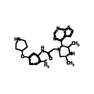 Cc1ccc(OC2CCNCC2)cc1NC(=O)CN1CC(C)NC(C)C1c1ncnc2sccc12